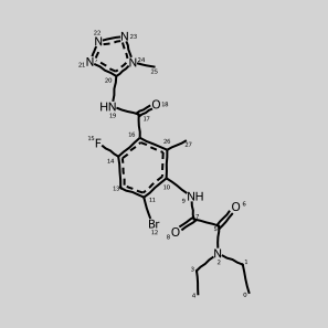 CCN(CC)C(=O)C(=O)Nc1c(Br)cc(F)c(C(=O)Nc2nnnn2C)c1C